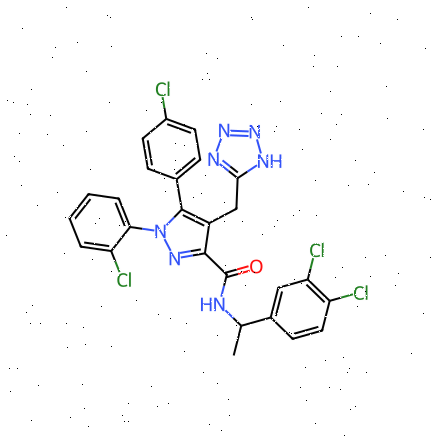 CC(NC(=O)c1nn(-c2ccccc2Cl)c(-c2ccc(Cl)cc2)c1Cc1nnn[nH]1)c1ccc(Cl)c(Cl)c1